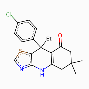 CCC1(c2ccc(Cl)cc2)C2=C(CC(C)(C)CC2=O)Nc2ncsc21